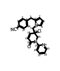 N#Cc1ccc(Cc2cccn2CC2(Cl)C=CC(=O)N(c3ccccn3)C2)cc1